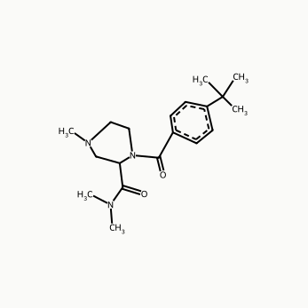 CN1CCN(C(=O)c2ccc(C(C)(C)C)cc2)C(C(=O)N(C)C)C1